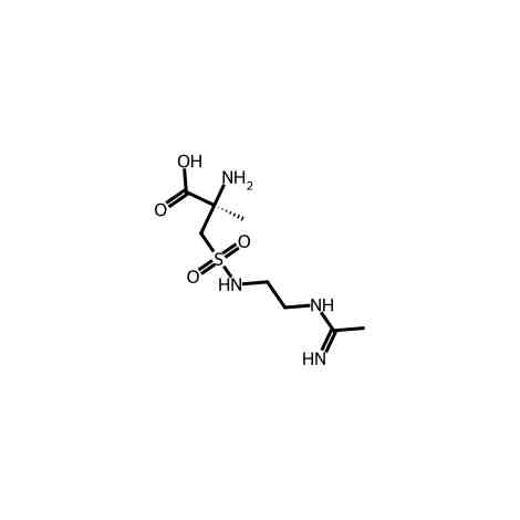 CC(=N)NCCNS(=O)(=O)C[C@](C)(N)C(=O)O